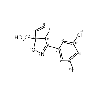 C=CC1(C(=O)O)ON=C(c2cc(F)cc(Cl)c2)C1C